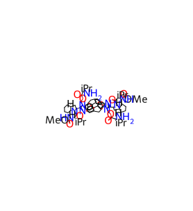 COC(=O)N[C@H](C(=O)N1C(c2nc3ccc(-c4cc5ccc4CCc4ccc(c(-c6ccc7nc([C@@H]8C[C@@H]9CCCC[C@@H]9N8C(=O)[C@@H](NC(=O)OC)C(C)C)n(COC(=O)[C@@H](N)C(C)C)c7c6)c4)CC5)cc3n2COC(=O)[C@@H](N)C(C)C)C[C@@H]2CCCC[C@@H]21)C(C)C